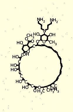 COC(=O)C1C2CC(O[C@@H]3O[C@H](C)C(O)[C@H](N(CCCN)CCCN)[C@@H]3O)/C=C/C=C/C=C/C=C/C=C/C=C/C=C/C(C)C(O)[C@@H](C)[C@H](C)OC(=O)CC(O)CC(O)CCC(O)C(O)CC(O)CC(O)(C[C@@H]1O)O2